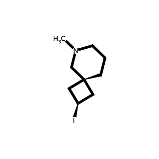 CN1CCC[C@]2(C1)C[C@H](I)C2